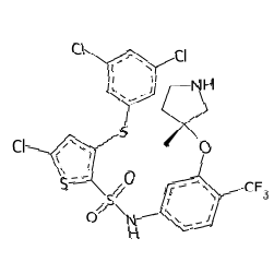 C[C@@]1(Oc2cc(NS(=O)(=O)c3sc(Cl)cc3Sc3cc(Cl)cc(Cl)c3)ccc2C(F)(F)F)CCNC1